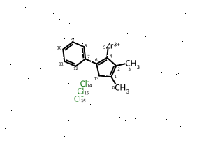 CC1=C(C)[C]([Zr+3])=C(c2ccccc2)C1.[Cl-].[Cl-].[Cl-]